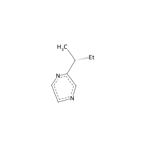 CC[C@@H](C)c1cnccn1